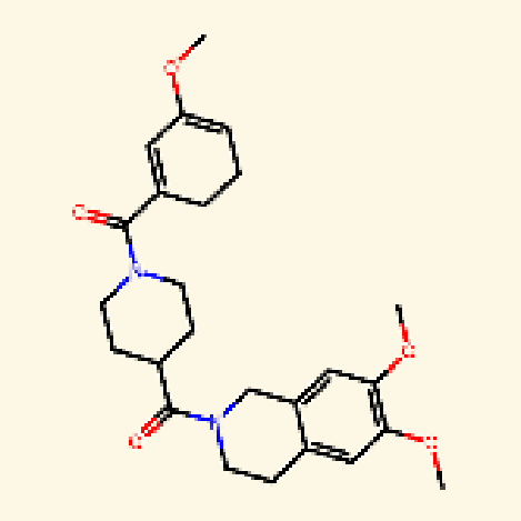 COC1=CCCC(C(=O)N2CCC(C(=O)N3CCc4cc(OC)c(OC)cc4C3)CC2)=C1